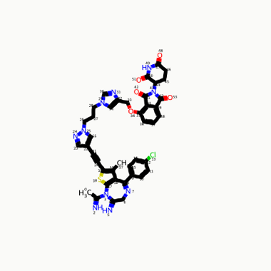 CC(=N)N1C(=N)CN=C(c2ccc(Cl)cc2)c2c1sc(C#Cc1cnn(CCCn3cnc(COc4cccc5c4C(=O)N(C4CCC(=O)NC4=O)C5=O)c3)c1)c2C